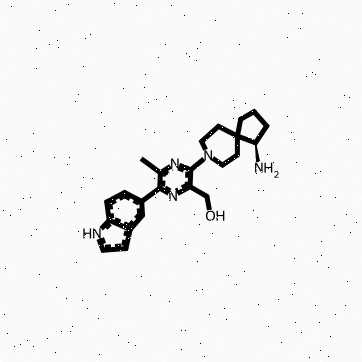 Cc1nc(N2CCC3(CCC[C@H]3N)CC2)c(CO)nc1-c1ccc2[nH]ccc2c1